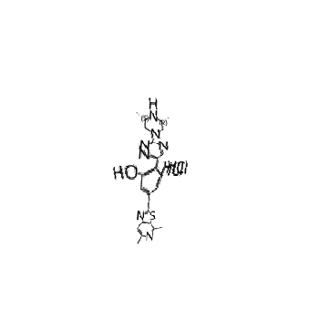 Cc1cc2nc(-c3ccc(-c4cnc(N5C[C@@H](C)N[C@@H](C)C5)nn4)c(O)c3)sc2c(C)n1.Cl.Cl